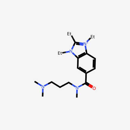 CCc1n(CC)c2cc(C(=O)N(C)CCCN(C)C)ccc2[n+]1CC